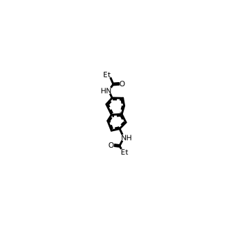 CCC(=O)Nc1ccc2cc(NC(=O)CC)ccc2c1